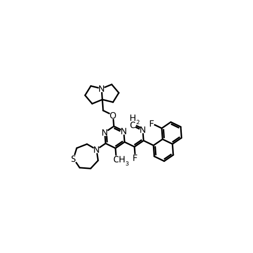 C=N/C(=C(/F)c1nc(OCC23CCCN2CCC3)nc(N2CCCSCC2)c1C)c1cccc2cccc(F)c12